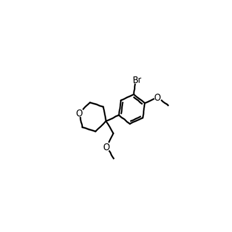 COCC1(c2ccc(OC)c(Br)c2)CCOCC1